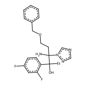 CCC(O)(c1ccc(F)cc1F)C(N)(CCOCc1ccccc1)n1cncn1